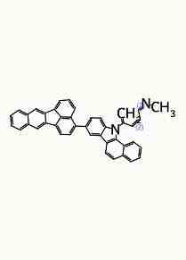 C=C(/C=C\C=N/C)n1c2ccc(-c3ccc4c5c(cccc35)-c3cc5ccccc5cc3-4)cc2c2ccc3ccccc3c21